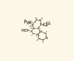 Oc1cc2ccccc2c2ccc[c]([Pd+2])c12.[Cl-].[Cl-]